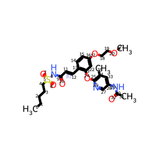 CCCCCS(=O)(=O)NC(=O)/C=C/c1ccc(OCCOC)cc1Oc1ncc(NC(C)=O)cc1C